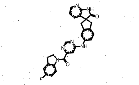 O=C(c1cc(Nc2ccc3c(c2)CC2(C3)C(=O)Nc3ncccc32)ncn1)N1CCc2cc(F)ccc21